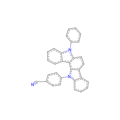 N#Cc1ccc(-n2c3ccccc3c3ccc4c(c5ccccc5n4-c4ccccc4)c32)cc1